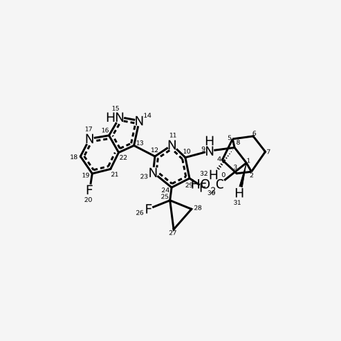 O=C(O)[C@H]1C2CCC(CC2)[C@@H]1Nc1nc(-c2n[nH]c3ncc(F)cc23)nc(C2(F)CC2)c1F